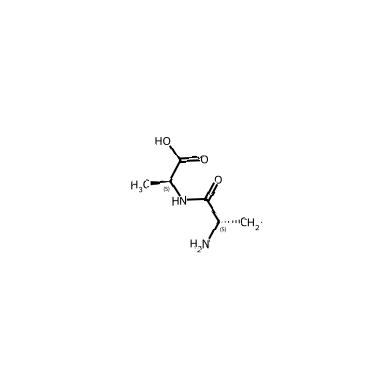 [CH2][C@H](N)C(=O)N[C@@H](C)C(=O)O